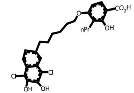 CCCc1c(OCCCCCCc2ccc3c(Cl)c(O)c(O)c(Cl)c3c2)ccc(C(=O)O)c1O